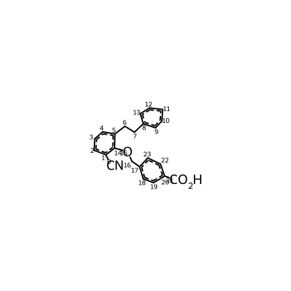 N#Cc1cccc(CCc2ccccc2)c1OCc1ccc(C(=O)O)cc1